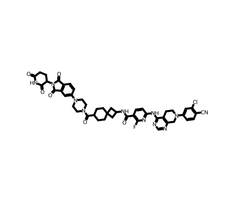 N#Cc1ccc(N2CCc3c(ncnc3Nc3ccc(C(=O)NC4CC5(CCC(C(=O)N6CCN(c7ccc8c(c7)C(=O)N(C7CCC(=O)NC7=O)C8=O)CC6)CC5)C4)c(F)n3)C2)cc1Cl